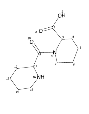 O=C(O)C1CCCCN1C(=O)C1CCCCN1